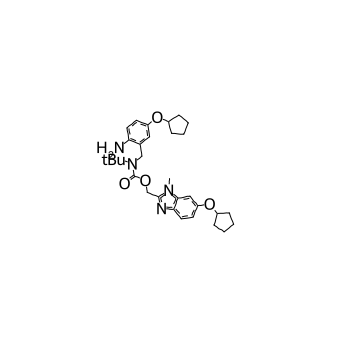 Cn1c(COC(=O)N(Cc2cc(OC3CCCC3)ccc2N)C(C)(C)C)nc2ccc(OC3CCCC3)cc21